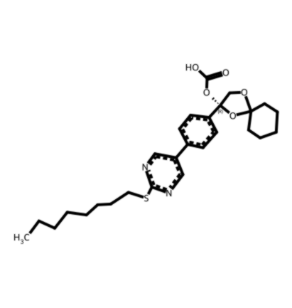 CCCCCCCCSc1ncc(-c2ccc([C@@]3(OC(=O)O)COC4(CCCCC4)O3)cc2)cn1